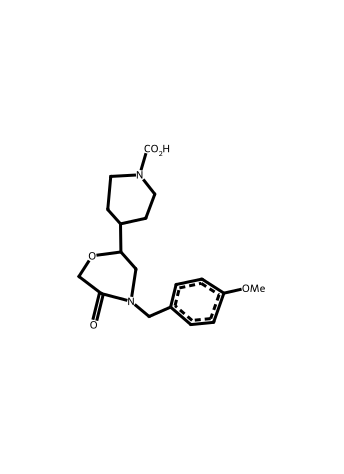 COc1ccc(CN2CC(C3CCN(C(=O)O)CC3)OCC2=O)cc1